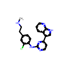 CNCCc1ccc(Nc2nccc(-c3c[nH]c4ncccc34)n2)c(Cl)c1